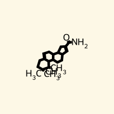 CC1(C)CCC2=CCC3C4CC(C(N)=O)=CC4CCC3C2C1(C)C